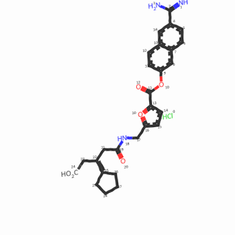 Cl.N=C(N)c1ccc2cc(OC(=O)c3ccc(CNC(=O)CC(CC(=O)O)=C4CCCC4)o3)ccc2c1